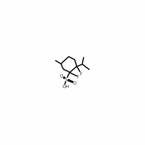 CC1CCC(F)(C(C)C)C(F)(S(=O)(=O)O)C1